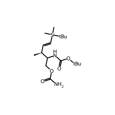 C[C@@H](C=C[Si](C)(C)C(C)(C)C)C(COC(N)=O)NC(=O)OC(C)(C)C